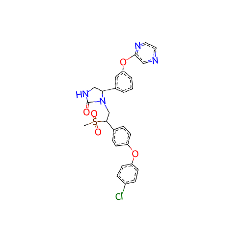 CS(=O)(=O)C(CN1C(=O)NCC1c1cccc(Oc2cnccn2)c1)c1ccc(Oc2ccc(Cl)cc2)cc1